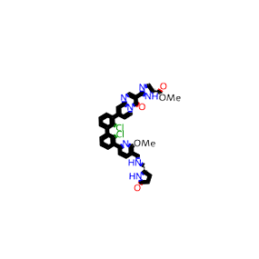 COC(=O)[C@@H]1CN=C(c2cnc3cc(-c4cccc(-c5cccc(-c6ccc(CNC[C@@H]7CCC(=O)N7)c(OC)n6)c5Cl)c4Cl)ccn3c2=O)N1